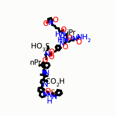 CCCC1(C)CC2(Cn3ncc(-c4ccc(-c5ccc6c(c5)N(C(=O)Nc5nc7ccccc7s5)CCC6)nc4C(=O)O)c3C)CCCC(OCCN(CCS(=O)(=O)O)C(=O)OCc3ccc(NC(=O)[C@H](CCCNC(N)=O)NC(=O)[C@@H](NC(=O)CCCCCN4C(=O)C=CC4=O)C(C)C)cc3)(C1)C2